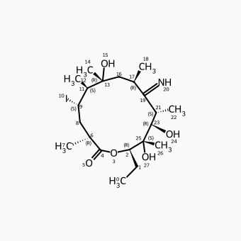 CC[C@H]1OC(=O)[C@H](C)C[C@H](I)[C@@H](C)[C@](C)(O)C[C@@H](C)C(=N)[C@H](C)[C@@H](O)[C@]1(C)O